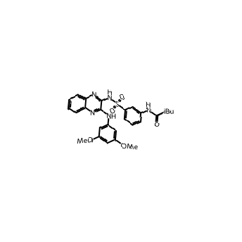 CCC(C)C(=O)Nc1cccc(S(=O)(=O)Nc2nc3ccccc3nc2Nc2cc(OC)cc(OC)c2)c1